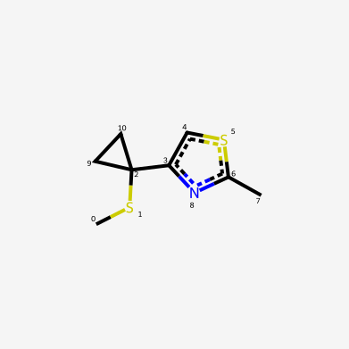 CSC1(c2csc(C)n2)CC1